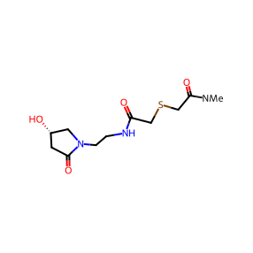 CNC(=O)CSCC(=O)NCCN1C[C@@H](O)CC1=O